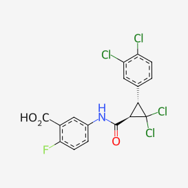 O=C(O)c1cc(NC(=O)[C@H]2[C@H](c3ccc(Cl)c(Cl)c3)C2(Cl)Cl)ccc1F